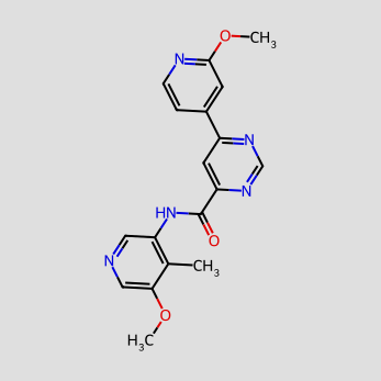 COc1cc(-c2cc(C(=O)Nc3cncc(OC)c3C)ncn2)ccn1